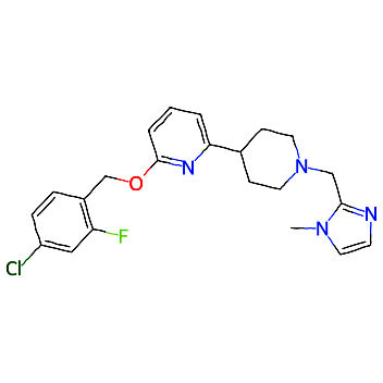 Cn1ccnc1CN1CCC(c2cccc(OCc3ccc(Cl)cc3F)n2)CC1